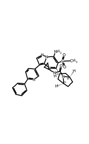 CS(=O)(=O)c1c([C@@H]2C[C@H]3CC[C@@H](C2)N3C(=O)NC2CC2)nc2c(-c3ccc(-c4ccccc4)nc3)cnn2c1N